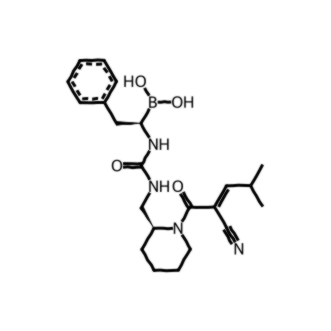 CC(C)/C=C(\C#N)C(=O)N1CCCC[C@H]1CNC(=O)N[C@@H](Cc1ccccc1)B(O)O